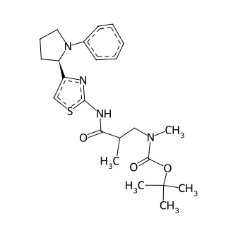 CC(CN(C)C(=O)OC(C)(C)C)C(=O)Nc1nc([C@H]2CCCN2c2ccccc2)cs1